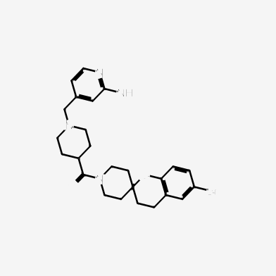 Nc1cc(CN2CCC(C(=O)N3CCC4(CCc5cc(Br)ccc5O4)CC3)CC2)ccn1